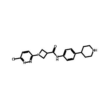 O=C(Nc1ccc(C2CCNCC2)cc1)C1CN(c2ccc(Cl)nn2)C1